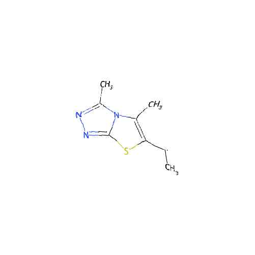 C[CH]c1sc2nnc(C)n2c1C